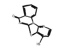 O=c1nc2sc3c(S)ccnc3n2c2ccccc12